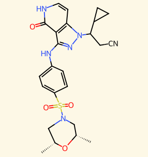 C[C@@H]1CN(S(=O)(=O)c2ccc(Nc3nn(C(CC#N)C4CC4)c4cc[nH]c(=O)c34)cc2)C[C@H](C)O1